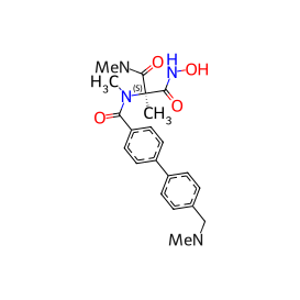 CNCc1ccc(-c2ccc(C(=O)N(C)[C@@](C)(C(=O)NC)C(=O)NO)cc2)cc1